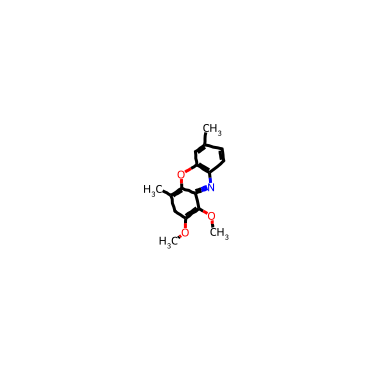 COC1=C(OC)C2=Nc3ccc(C)cc3OC2=C(C)C1